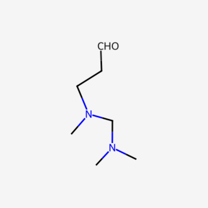 CN(C)CN(C)CCC=O